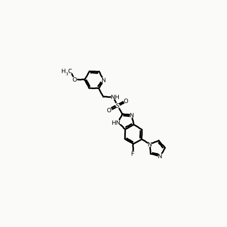 COc1ccnc(CNS(=O)(=O)c2nc3cc(-n4ccnc4)c(F)cc3[nH]2)c1